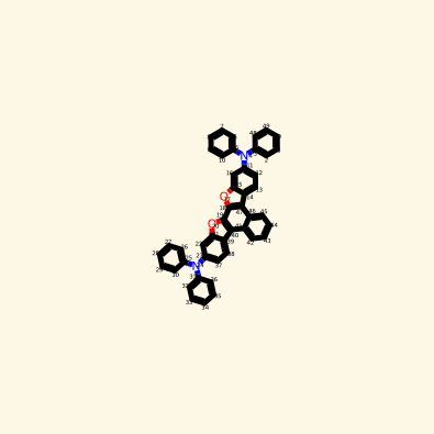 c1ccc(N(c2ccccc2)c2ccc3c(c2)oc2c4oc5cc(N(c6ccccc6)c6ccccc6)ccc5c4c4ccccc4c32)cc1